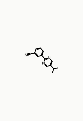 CC(C)c1cnc(-c2cccc(C#N)c2)nc1